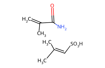 C=C(C)C(N)=O.CC(C)=CS(=O)(=O)O